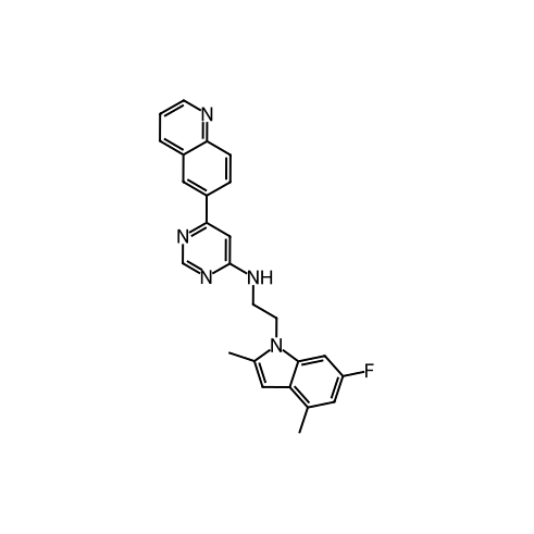 Cc1cc(F)cc2c1cc(C)n2CCNc1cc(-c2ccc3ncccc3c2)ncn1